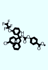 COC(=O)c1ccc(OC(=O)NC(Cc2ccccc2)(c2cccc(OC(F)(F)C(F)F)c2)c2ccc(Cl)cn2)cc1